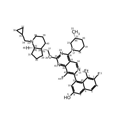 CCc1c(F)ccc2cc(O)cc(-c3ncc4c(N5CCC[C@@H](C)C5)nc(OC[C@]56CCC[C@H]5N(CC5CC5)CCC6)nc4c3F)c12